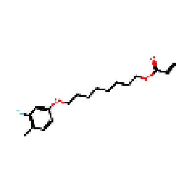 C=CC(=O)OCCCCCCCCOc1ccc(C)c(F)c1